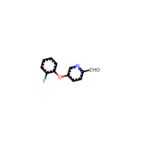 O=Cc1ccc(Oc2ccccc2F)cn1